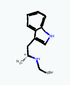 C[C@H](Cc1c[nH]c2ccccc12)NCC(C)(C)C